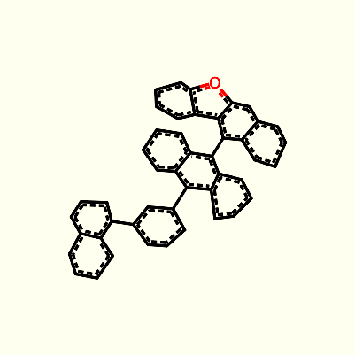 c1cc(-c2cccc3ccccc23)cc(-c2c3ccccc3c(-c3c4ccccc4cc4oc5ccccc5c34)c3ccccc23)c1